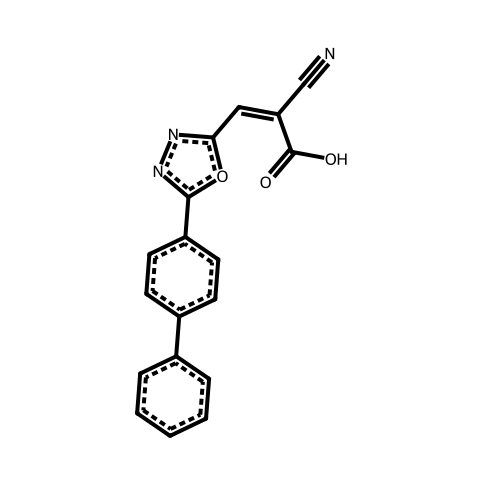 N#CC(=Cc1nnc(-c2ccc(-c3ccccc3)cc2)o1)C(=O)O